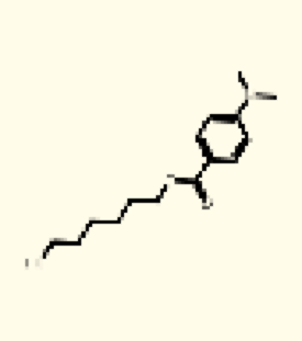 CN(C)c1ccc(C(=O)OCCCCCCO)cc1